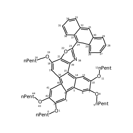 CCCCCOc1cc2c3cc(OCCCCC)c(OCCCCC)cc3c3c(cc(OCCCCC)c4oc(-c5c6ccccc6cc6ccccc56)nc43)c2cc1OCCCCC